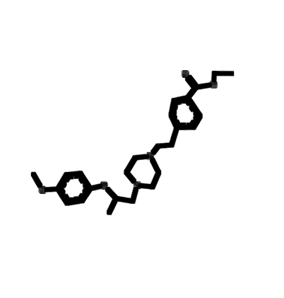 CCOC(=O)c1ccc(CCN2CCN(CC(C)Oc3ccc(OC)cc3)CC2)cc1